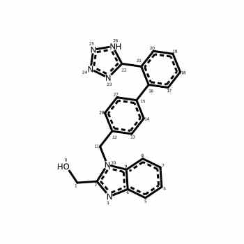 OCc1nc2ccccc2n1Cc1ccc(-c2ccccc2-c2nnn[nH]2)cc1